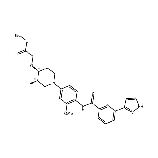 COc1cc(N2CC[C@H](OCC(=O)OC(C)(C)C)[C@H](F)C2)ccc1NC(=O)c1cccc(-c2cc[nH]n2)n1